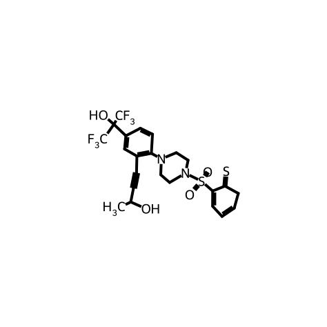 CC(O)C#Cc1cc(C(O)(C(F)(F)F)C(F)(F)F)ccc1N1CCN(S(=O)(=O)C2=CC=CCC2=S)CC1